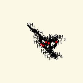 CCCCCOc1ccc(S(=O)(=O)NCCNCc2c(O)cc3c(c2C)-c2cc(ccc2O)[C@H]2NC(=O)[C@@H]4NC(=O)[C@H](CC(N)=O)NC(=O)[C@H](NC(=O)[C@@H](CC(C)C)NC)[C@H](O)c5ccc(c(C)c5)Oc5cc4cc(c5O[C@@H]4O[C@H](CO)[C@@H](O)[C@H](O)[C@H]4O[C@H]4C[C@]5(C)NC(=O)O[C@@H]5[C@H](C)O4)Oc4ccc(cc4Cl)[C@@H](O)[C@H](NC2=O)C(=O)N[C@@H]3C(=O)O)cc1